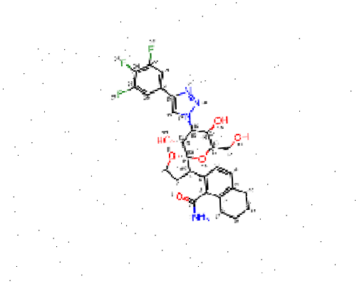 NC(=O)c1c([C@H]2CCO[C@]23O[C@H](CO)[C@H](O)[C@H](n2cc(-c4cc(F)c(F)c(F)c4)nn2)[C@H]3O)ccc2c1CCCC2